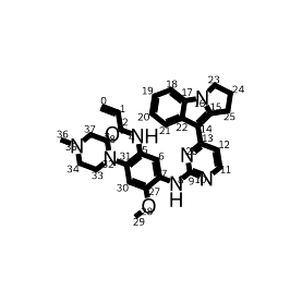 C=CC(=O)Nc1cc(Nc2nccc(-c3c4n(c5ccccc35)CCC4)n2)c(OC)cc1N1CCN(C)CC1